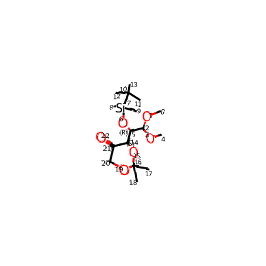 COC(OC)[C@H](O[Si](C)(C)C(C)(C)C)[C@@H]1OC(C)(C)OCC1=O